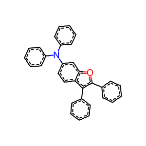 c1ccc(-c2oc3cc(N(c4ccccc4)c4ccccc4)ccc3c2-c2ccccc2)cc1